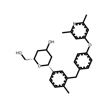 Cc1cc(Oc2ccc(Cc3cc([C@H]4CC(O)C[C@@H](CO)O4)ccc3C)cc2)cc(C)n1